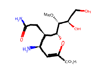 CO[C@@H]([C@@H]1OC(C(=O)O)=C[C@@H](N)[C@H]1CC(N)=O)[C@H](O)CO